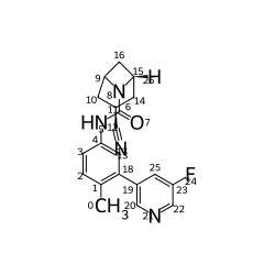 Cc1ccc(NC(=O)N2C3C[C@H](C#N)C[C@H]2C3)cc1-c1cncc(F)c1